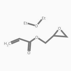 C=CC(=O)OCC1CO1.CCOCC